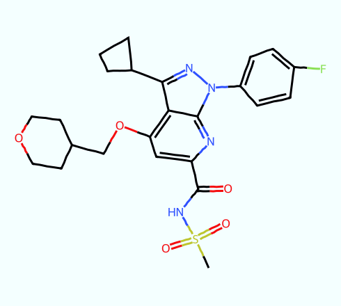 CS(=O)(=O)NC(=O)c1cc(OCC2CCOCC2)c2c(C3CCC3)nn(-c3ccc(F)cc3)c2n1